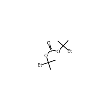 CCC(C)(C)OS(=O)OC(C)(C)CC